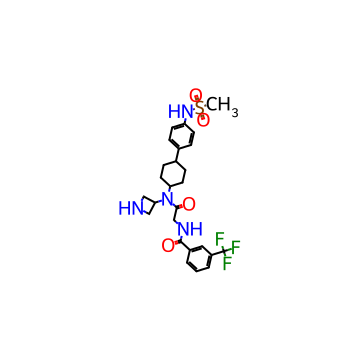 CS(=O)(=O)Nc1ccc(C2CCC(N(C(=O)CNC(=O)c3cccc(C(F)(F)F)c3)C3CNC3)CC2)cc1